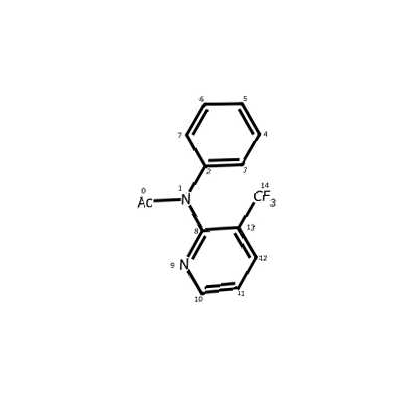 CC(=O)N(c1ccccc1)c1ncccc1C(F)(F)F